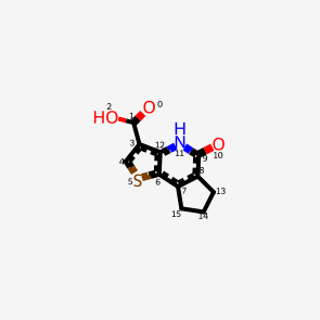 O=C(O)c1csc2c3c(c(=O)[nH]c12)CCC3